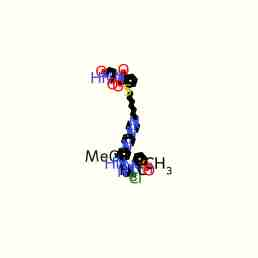 COc1cc(N2CCC(N3CCN(CCCCCCCSc4cccc5c4C(=O)N(C4CCC(=O)NC4=O)C5=O)CC3)CC2)ccc1Nc1ncc(Cl)c(Nc2ccccc2P(C)(C)=O)n1